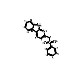 O=S(=O)(Cc1ccc2c(n1)[nH]c1ccccc12)c1ccccc1